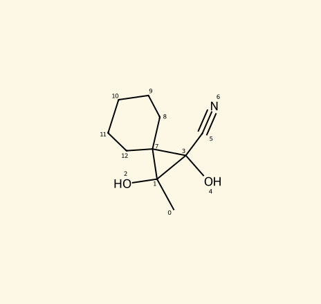 CC1(O)C(O)(C#N)C12CCCCC2